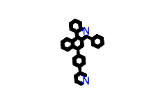 c1ccc(-c2nc3ccccc3c3c2cc(-c2ccc(-c4cccnc4)cc2)c2ccccc23)cc1